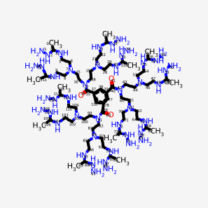 CC(NN)NCCN(CCNC(C)NN)CCN(CCN(CCNC(C)NN)CCNC(C)NN)C(=O)c1cc(C(=O)N(CCN(CCNC(C)NN)CCNC(C)NN)CCN(CCNC(C)NN)CCNC(C)NN)cc(C(=O)N(CCN(CCNC(C)NN)CCNC(C)NN)CCN(CCNC(C)NN)CCNC(C)NN)c1